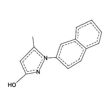 Cc1cc(O)nn1-c1ccc2ccccc2c1